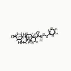 C[C@]12CCC(=O)C=C1NC[C@@H]1[C@H]2CC[C@]2(C)C(C(=O)NCCc3ccccn3)CC[C@@H]12